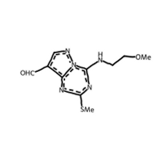 COCCNc1nc(SC)nc2c(C=O)cnn12